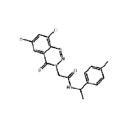 Cc1ccc(C(C)NC(=O)Cn2nnc3c(Cl)cc(Cl)cc3c2=O)cc1